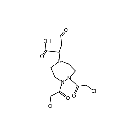 O=CCC(C(=O)O)N1CCN(C(=O)CCl)N(C(=O)CCl)CC1